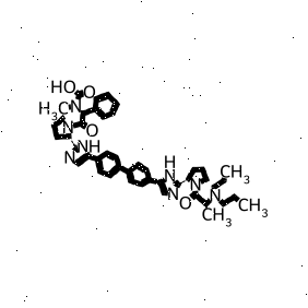 CCCN(CCC)[C@H](C)C(=O)N1CCC[C@H]1c1ncc(-c2ccc(-c3ccc(-c4cnc([C@@H]5CCCN5C(=O)[C@@H](c5ccccc5)N(C)C(=O)O)[nH]4)cc3)cc2)[nH]1